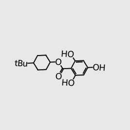 CC(C)(C)C1CCC(OC(=O)c2c(O)cc(O)cc2O)CC1